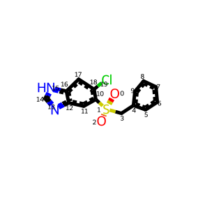 O=S(=O)(Cc1ccccc1)c1cc2nc[nH]c2cc1Cl